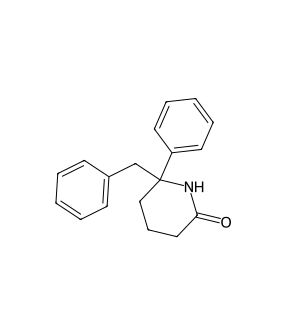 O=C1CCCC(Cc2ccccc2)(c2ccccc2)N1